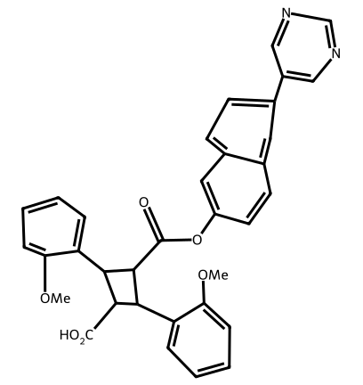 COc1ccccc1C1C(C(=O)O)C(c2ccccc2OC)C1C(=O)Oc1ccc2cc(-c3cncnc3)ccc2c1